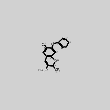 O=C(O)C1=Cc2cc(Cl)c(SC3=CCCC=C3)cc2OC1C(F)(F)F